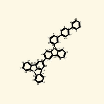 c1ccc(-c2ccc(-c3cccc(-n4c5ccccc5c5cc(-c6cc7c8ccccc8n8c9ccccc9c(c6)c78)ccc54)c3)cc2)cc1